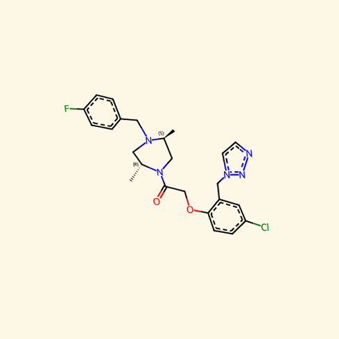 C[C@@H]1CN(Cc2ccc(F)cc2)[C@@H](C)CN1C(=O)COc1ccc(Cl)cc1Cn1ccnn1